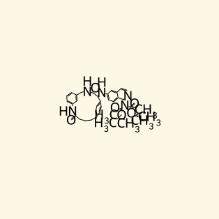 CC(C)(C)OC(=O)N(C(=O)OC(C)(C)C)c1nccc2cc(NC3C(=O)NCc4cccc(c4)NC(=O)CCCc4ccc3cc4)ccc12